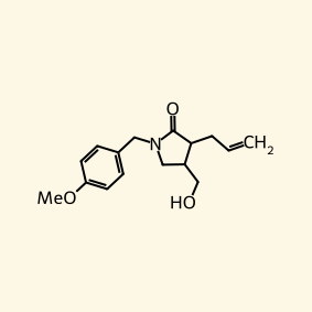 C=CCC1C(=O)N(Cc2ccc(OC)cc2)CC1CO